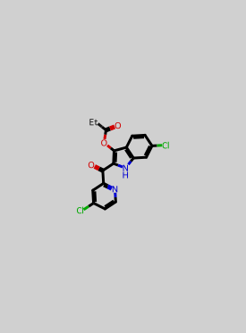 CCC(=O)Oc1c(C(=O)c2cc(Cl)ccn2)[nH]c2cc(Cl)ccc12